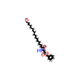 O=CCCCCCCCCCCCCCCCCC(=O)NCC(=O)OCc1ccccc1